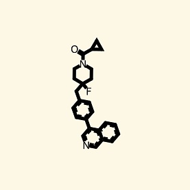 O=C(C1CC1)N1CCC(F)(Cc2ccc(-c3cncc4ccccc34)cc2)CC1